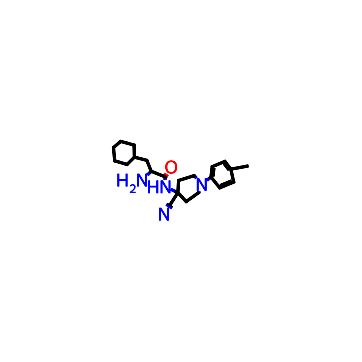 Cc1ccc(N2CCC(C#N)(NC(=O)C(N)CC3CCCCC3)CC2)cc1